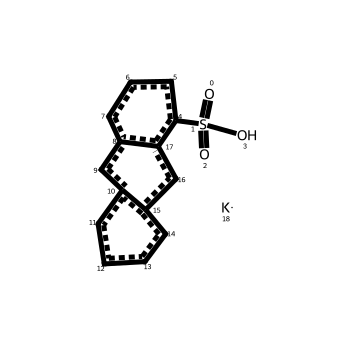 O=S(=O)(O)c1cccc2cc3ccccc3cc12.[K]